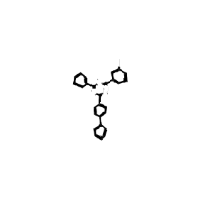 Ic1cccc(-c2nc(-c3ccccc3)nc(-c3ccc(-c4ccccc4)cc3)n2)c1